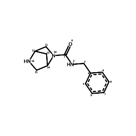 O=C(NCc1ccccc1)N1CC2CC1CN2